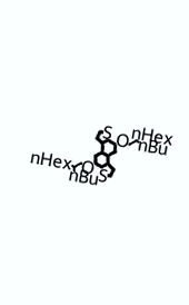 CCCCCCC(CCCC)COc1cc2c3ccsc3c(OCC(CCCC)CCCCCC)cc2c2ccsc12